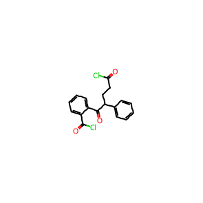 O=C(Cl)CCC(C(=O)c1ccccc1C(=O)Cl)c1ccccc1